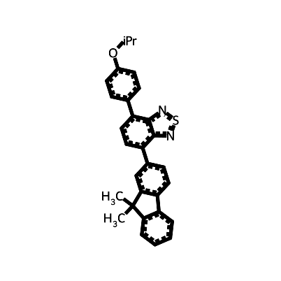 CC(C)Oc1ccc(-c2ccc(-c3ccc4c(c3)C(C)(C)c3ccccc3-4)c3nsnc23)cc1